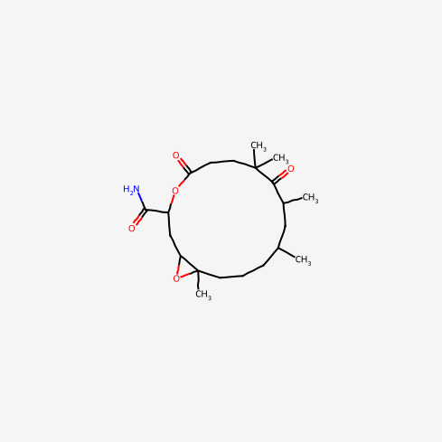 CC1CCCC2(C)OC2CC(C(N)=O)OC(=O)CCC(C)(C)C(=O)C(C)C1